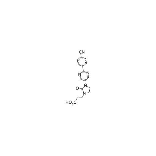 N#Cc1ccc(-c2ncc(N3CCN(CCC(=O)O)C3=O)cn2)cc1